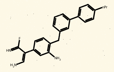 CCCc1ccc(-c2cccc(Cc3ccc(/C(=C/N)C(=N)F)cc3N)c2)cc1